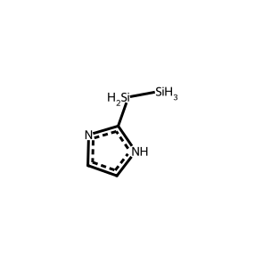 [SiH3][SiH2]c1ncc[nH]1